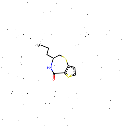 CCCC1CSc2ccsc2C(=O)N1